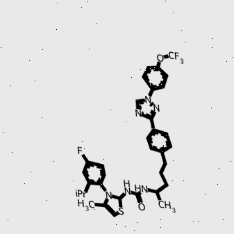 CC1=CSC(NC(=O)NC(C)CCCc2ccc(-c3ncn(-c4ccc(OC(F)(F)F)cc4)n3)cc2)N1c1ccc(F)cc1C(C)C